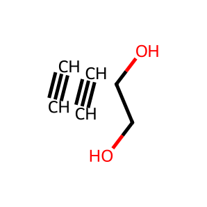 C#C.C#C.OCCO